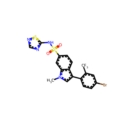 Cn1cc(-c2ccc(Br)cc2C(F)(F)F)c2ccc(S(=O)(=O)Nc3ncns3)cc21